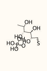 CC(O)[C@@H](O)[C@@H](O)[C@@H](O)C=S.O=P(O)(O)O